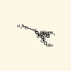 C=CCOCCCCCCOc1ccc(C(=O)Oc2ccc(OC(=O)C3CCC(CCCC)CC3)cc2C(CCCCCC)(NN)c2nc3c(C)cccc3s2)cc1